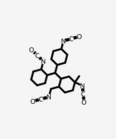 CC1(N=C=O)CCC(CN=C=O)C(C(C2CCC(N=C=O)CC2)C2CCCCC2N=C=O)C1